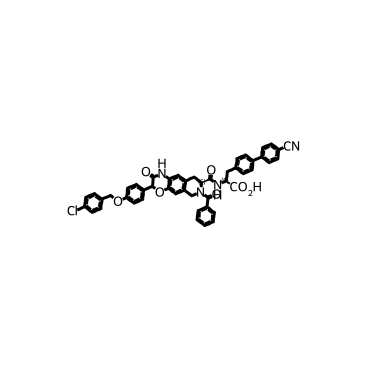 N#Cc1ccc(-c2ccc(C[C@H](NC(=O)[C@@H]3Cc4cc5c(cc4CN3C(=O)c3ccccc3)OC(c3ccc(OCc4ccc(Cl)cc4)cc3)C(=O)N5)C(=O)O)cc2)cc1